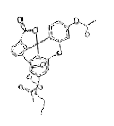 CCCCOC(=O)c1cccc2c1C1(OC2=O)c2ccc(OC(C)=O)cc2Oc2cc(OC(C)=O)ccc21